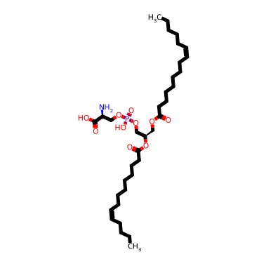 CCCC/C=C\CCCCCCCC(=O)O[C@H](COC(=O)CCCCCCC/C=C\CCCCC)COP(=O)(O)OC[C@H](N)C(=O)O